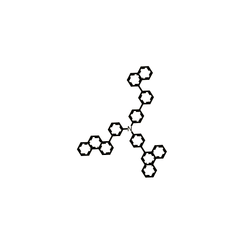 c1cc(-c2ccc(N(c3ccc(-c4cc5ccccc5c5ccccc45)cc3)c3cccc(-c4cccc5c4ccc4ccccc45)c3)cc2)cc(-c2cccc3ccccc23)c1